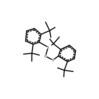 CC(C)(C)c1cccc(C(C)(C)C)c1SOSc1c(C(C)(C)C)cccc1C(C)(C)C